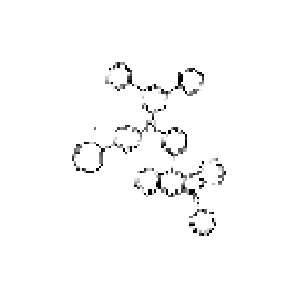 C[C@H]1C=CC=CC=C1c1ccc(N(c2cc(-c3ccccc3)cc(-c3ccccc3)c2)c2cccc(-c3c4ccccc4cc4c3c3ccccc3n4-c3ccccc3)c2)cc1